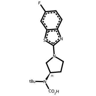 CC(C)(C)N(C(=O)O)[C@@H]1CCN(c2nc3ccc(F)cc3s2)C1